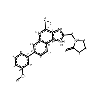 C=C1CCCN1Cc1nc2c(N)nc3cc(-c4cccc(OC)c4)ccc3c2[nH]1